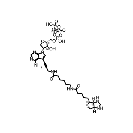 Nc1ncnc2c1c(C#CCNC(=O)CCCCCNC(=O)CCCC[C@@H]1SC[C@@H]3NCN[C@@H]31)cn2C1CO[C@H](COP(=O)(O)OP(=O)(O)OP(=O)(O)O)[C@H]1O